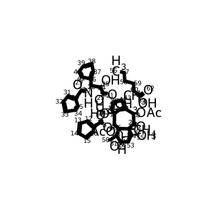 CC(=O)O[C@H]1C(=O)[C@@]2(C)[C@H]([C@H](OC(=O)c3ccccc3)[C@]3(O)C[C@H](OC(=O)[C@H](O)[C@@H](NC(=O)c4ccccc4)c4ccccc4)C(C)=C1C3(C)C)[C@]1(OC(C)=O)CO[C@@H]1C[C@@H]2O.CCCCCC(=O)O